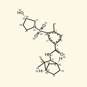 Cc1ccc(C(=O)NC2[C@H]3CC[C@H](C3)C2(C)C)cc1S(=O)(=O)N1CC[C@H](O)C1